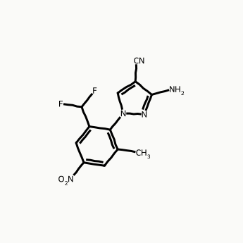 Cc1cc([N+](=O)[O-])cc(C(F)F)c1-n1cc(C#N)c(N)n1